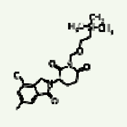 C[Si](C)(C)CCOCN1C(=O)CCC(N2Cc3c(Cl)cc(I)cc3C2=O)C1=O